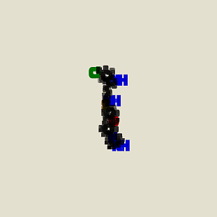 Clc1ccc2[nH]cc(CCCNSc3ccc(Oc4cccc(N5CCNCC5)c4)cc3)c2c1